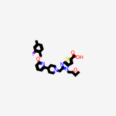 Cc1ccc(COc2cccc(C3CCN(Cc4nc5sc(C(=O)O)cc5n4CC4CCO4)CC3)n2)c(I)c1